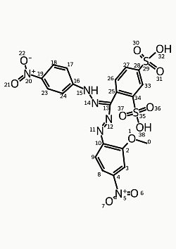 COc1cc([N+](=O)[O-])ccc1N=NC(=NNc1ccc([N+](=O)[O-])cc1)c1ccc(S(=O)(=O)O)cc1S(=O)(=O)O